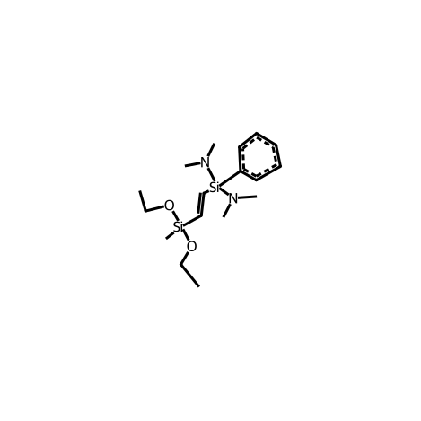 CCO[Si](C)(C=C[Si](c1ccccc1)(N(C)C)N(C)C)OCC